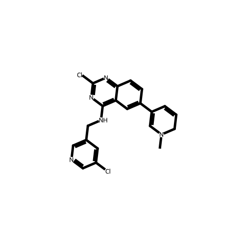 CN1C=C(c2ccc3nc(Cl)nc(NCc4cncc(Cl)c4)c3c2)C=CC1